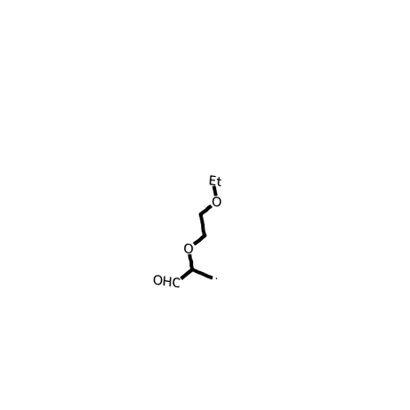 [CH2]C(C=O)OCCOCC